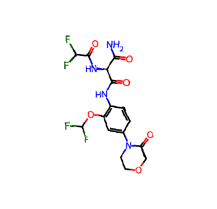 NC(=O)[C@H](NC(=O)C(F)F)C(=O)Nc1ccc(N2CCOCC2=O)cc1OC(F)F